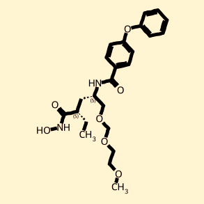 CC[C@@H](C[C@@H](COCOCCOC)NC(=O)c1ccc(Oc2ccccc2)cc1)C(=O)NO